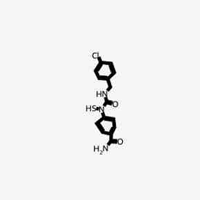 NC(=O)c1ccc(N(S)C(=O)NCc2ccc(Cl)cc2)cc1